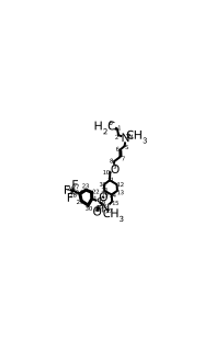 C=CCN(C)CC=CCOCC1CCC(CN(C)S(=O)(=O)c2ccc(C(F)(F)F)cc2)CC1